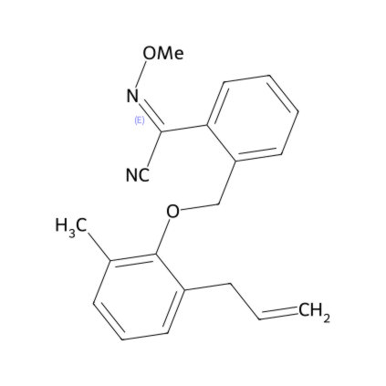 C=CCc1cccc(C)c1OCc1ccccc1/C(C#N)=N\OC